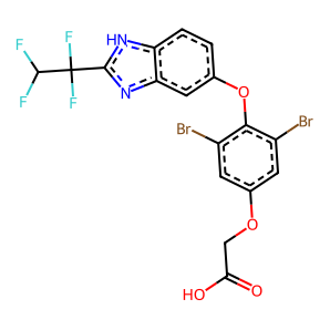 O=C(O)COc1cc(Br)c(Oc2ccc3[nH]c(C(F)(F)C(F)F)nc3c2)c(Br)c1